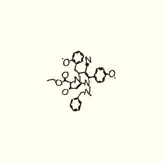 CCOC(=O)C1C(=O)C=C2N(CN(C)Cc3ccccc3)C(c3ccc(OC)cc3)=C(C#N)C(Cc3ccccc3OC)N21